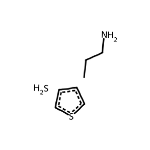 CCCN.S.c1ccsc1